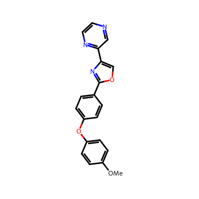 COc1ccc(Oc2ccc(-c3nc(-c4cnccn4)co3)cc2)cc1